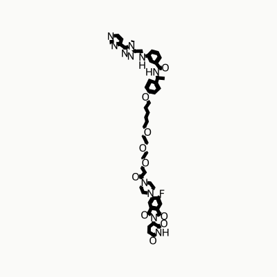 CC(NC(=O)c1cccc(NCc2nnc(-c3ccncn3)n2C)c1)c1ccc(OCCCCCCOCCOCCOCCC(=O)N2CCN(c3cc4c(cc3F)C(=O)N(C3CCC(=O)NC3=O)C4=O)CC2)cc1